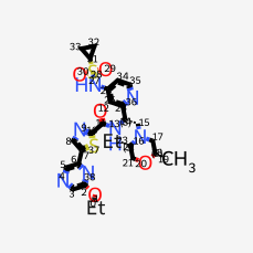 CCOc1cncc(-c2cnc(C(=O)N[C@@H](CN3C[C@H](C)OC[C@@H]3CC)c3cc(NS(=O)(=O)C4CC4)ccn3)s2)n1